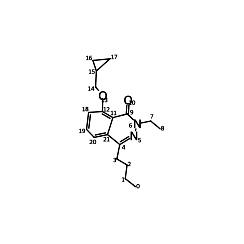 CCCCc1nn(CC)c(=O)c2c(OCC3CC3)cccc12